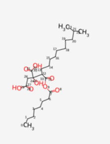 CCCCCCCC(=O)OC(=O)C(CCCCCCCCC(C)C)C(O)(CC(=O)O)C(=O)O